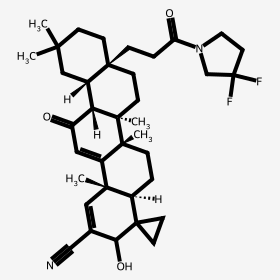 CC1(C)CC[C@]2(CCC(=O)N3CCC(F)(F)C3)CC[C@]3(C)[C@H](C(=O)C=C4[C@@]5(C)C=C(C#N)C(O)C6(CC6)[C@@H]5CC[C@]43C)[C@@H]2C1